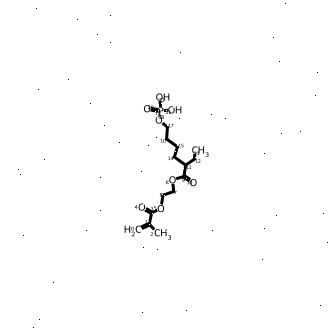 C=C(C)C(=O)OCCOC(=O)C(CC)CCCCOP(=O)(O)O